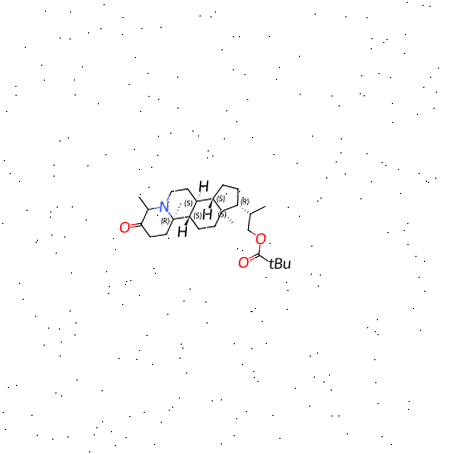 CC(COC(=O)C(C)(C)C)[C@H]1CC[C@H]2[C@@H]3CCN4C(C)C(=O)CC[C@]4(C)[C@H]3CC[C@]12C